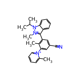 Cc1c(-c2c3ccccc3n(C(C)C)[n+]2C)cc(C#N)cc1-[n+]1ccccc1C